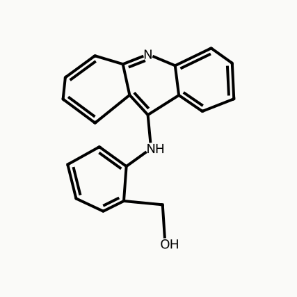 OCc1ccccc1Nc1c2ccccc2nc2ccccc12